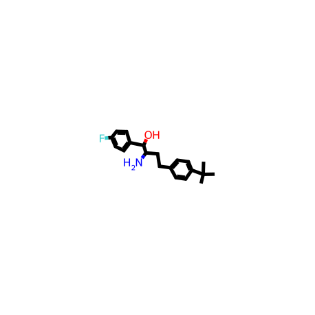 CC(C)(C)c1ccc(CCC(N)C(O)c2ccc(F)cc2)cc1